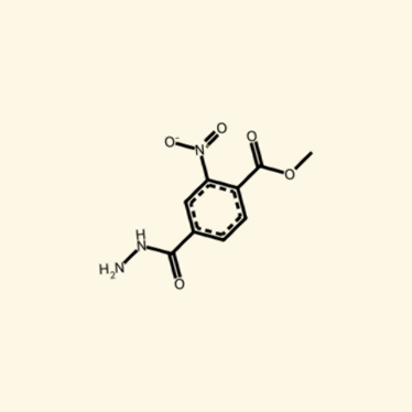 COC(=O)c1ccc(C(=O)NN)cc1[N+](=O)[O-]